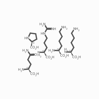 N=C(N)NCCC[C@H](N)C(=O)O.NC(=O)CC[C@H](N)C(=O)O.NCCCC[C@H](N)C(=O)O.NCCCC[C@H](N)C(=O)O.O=C(O)[C@@H]1CCCN1